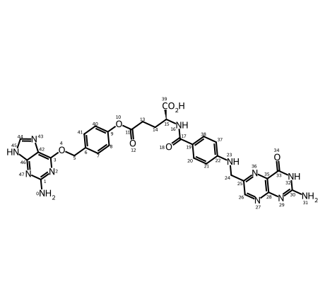 Nc1nc(OCc2ccc(OC(=O)CC[C@H](NC(=O)c3ccc(NCc4cnc5nc(N)[nH]c(=O)c5n4)cc3)C(=O)O)cc2)c2nc[nH]c2n1